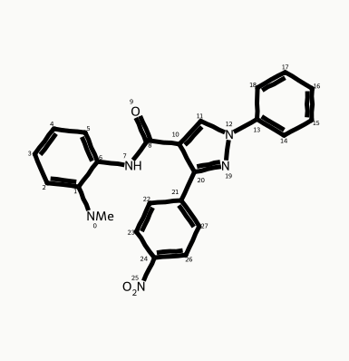 CNc1ccccc1NC(=O)c1cn(-c2ccccc2)nc1-c1ccc([N+](=O)[O-])cc1